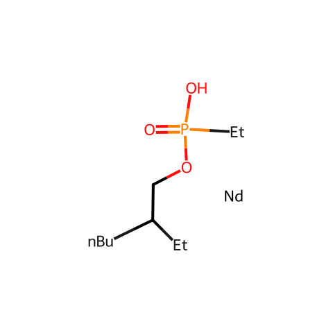 CCCCC(CC)COP(=O)(O)CC.[Nd]